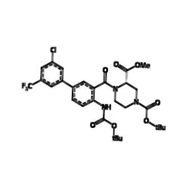 COC(=O)[C@@H]1CN(C(=O)OC(C)(C)C)CCN1C(=O)c1cc(-c2cc(Cl)cc(C(F)(F)F)c2)ccc1NC(=O)OC(C)(C)C